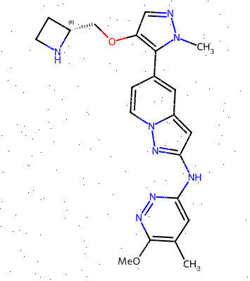 COc1nnc(Nc2cc3cc(-c4c(OC[C@H]5CCN5)cnn4C)ccn3n2)cc1C